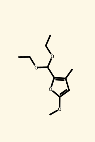 CCOC(OCC)c1oc(OC)cc1C